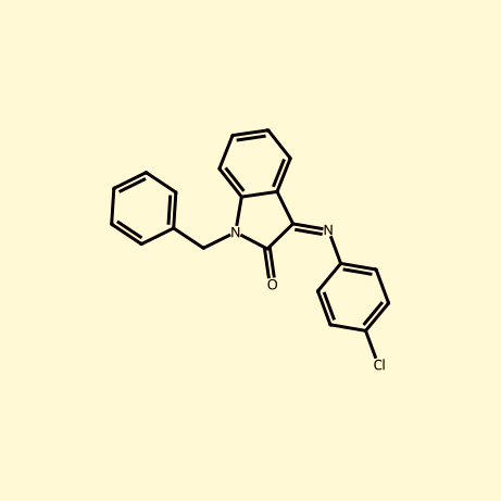 O=C1C(=Nc2ccc(Cl)cc2)c2ccccc2N1Cc1ccccc1